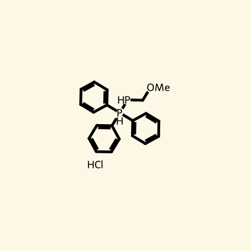 COCP[PH](c1ccccc1)(c1ccccc1)c1ccccc1.Cl